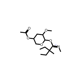 CCC(C)(CC)/C(=N\C)OC1OCC(OC(C)=O)CC1OC